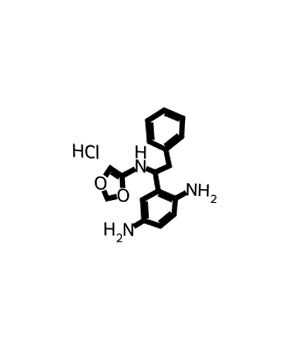 Cl.Nc1ccc(N)c(C(Cc2ccccc2)NC2=COCO2)c1